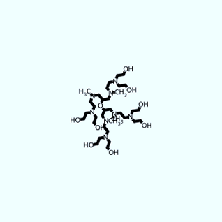 CN(CCN(CCO)CCO)CC(CN(C)CCN(CCO)CCO)OC(CN(C)CCN(CCO)CCO)CN(C)CCN(CCO)CCO